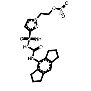 N=S(=O)(NC(=O)Nc1c2c(cc3c1CCC3)CCC2)c1ccn(CCO[SH](=O)=O)n1